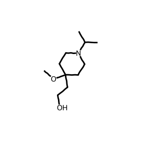 COC1(CCO)CCN(C(C)C)CC1